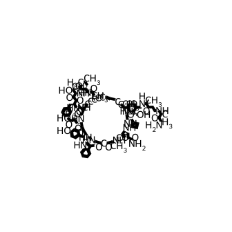 CC(=O)N[C@@H](CC(C)C)C(=O)N[C@H](C(=O)C(=O)[C@H](Cc1ccccc1)NN[C@]1(C)CCCCCC/C=C/CCC[C@@](C)(C(=O)N[C@@H](CO)C(=O)CN[C@@H](C)C(=O)CCN[C@@H](C)C(=O)CN)NC(=O)[C@H](CC2CCC2)NN[C@@H](CCC(N)=O)C(=O)CN[C@@H](C)C(=O)CC(=O)[C@H](Cc2c[nH]c3ccccc23)NN[C@@H](Cc2ccc(O)cc2)C(=O)C(=O)[C@H](CCC(=O)O)NC1=O)[C@@H](C)O